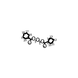 O=C(OCOCOC(=O)c1ccccc1)c1ccccc1